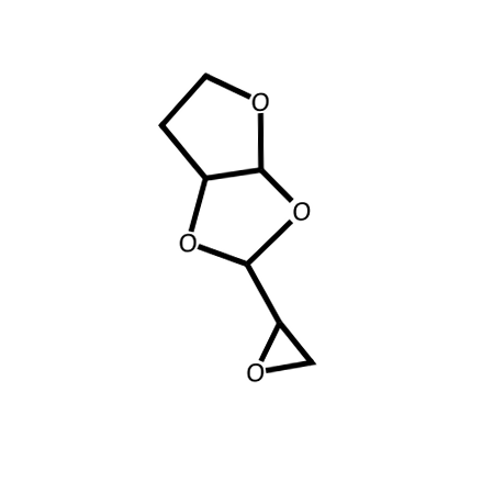 C1CC2OC(C3CO3)OC2O1